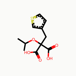 CC(C)OC(Cc1ccsc1)(C(=O)O)C(=O)O